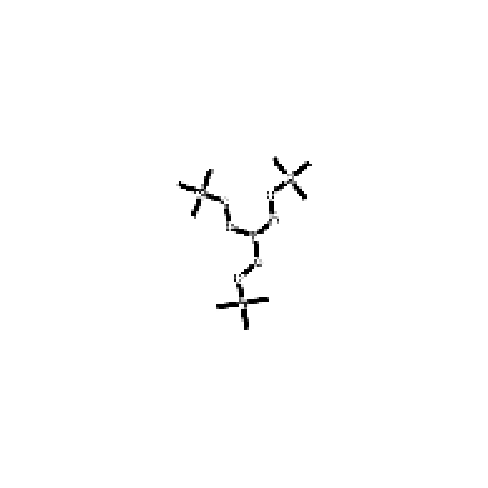 C[Si](C)(C)OOP(OO[Si](C)(C)C)OO[Si](C)(C)C